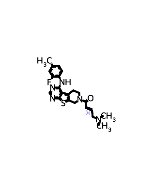 Cc1ccc(Nc2ncnc3sc4c(c23)CCN(C(=O)/C=C/CN(C)C)C4)c(F)c1